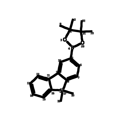 CC1(C)OB(c2ccc3c(c2)-c2ccccc2[Si]3(C)C)OC1(C)C